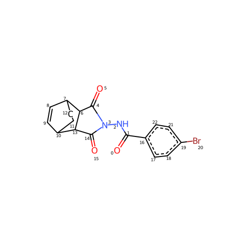 O=C(NN1C(=O)C2C3C=CC(CC3)C2C1=O)c1ccc(Br)cc1